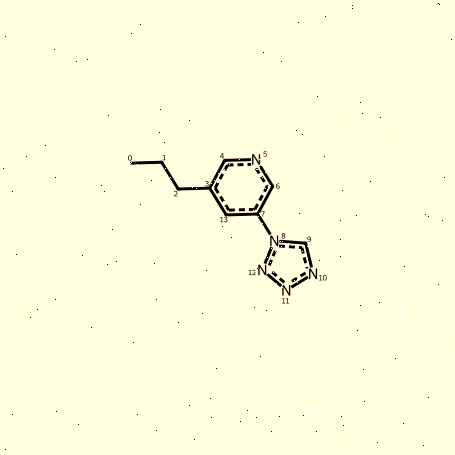 CCCc1cncc(-n2cnnn2)c1